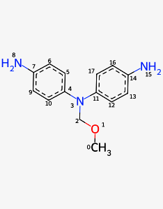 COCN(c1ccc(N)cc1)c1ccc(N)cc1